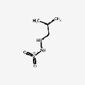 CC(C)CNN[SH](=O)=O